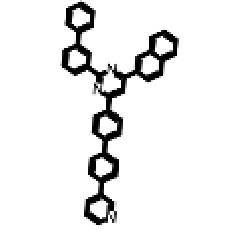 c1ccc(-c2cccc(-c3nc(-c4ccc(-c5ccc(-c6cccnc6)cc5)cc4)cc(-c4ccc5ccccc5c4)n3)c2)cc1